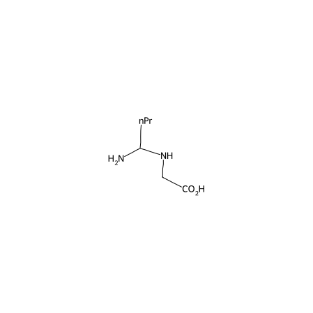 CCCC(N)NCC(=O)O